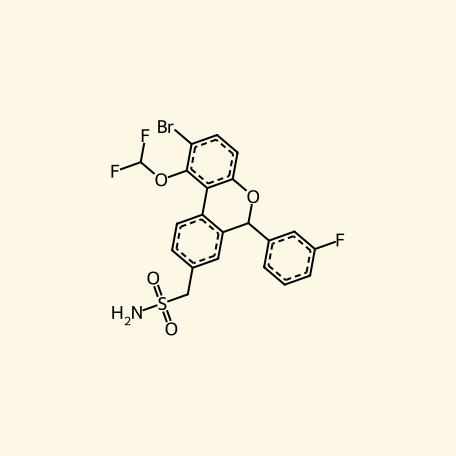 NS(=O)(=O)Cc1ccc2c(c1)C(c1cccc(F)c1)Oc1ccc(Br)c(OC(F)F)c1-2